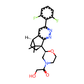 CC1(C)[C@H]2CC[C@]1([C@@H]1CN(C(=O)CO)CCO1)c1nnc(-c3c(F)cccc3F)cc12